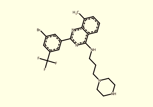 Cc1cccc2c(NCCCN3CCNCC3)nc(-c3cc(Br)cc(C(F)(F)F)c3)nc12